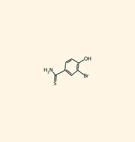 NC(=S)c1ccc(O)c(Br)c1